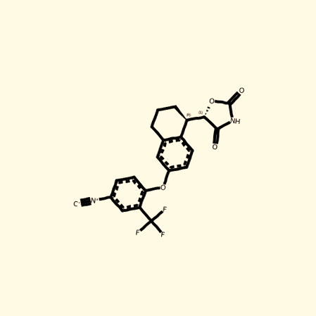 [C-]#[N+]c1ccc(Oc2ccc3c(c2)CCC[C@H]3[C@@H]2OC(=O)NC2=O)c(C(F)(F)F)c1